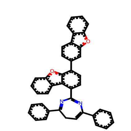 C1=C(c2ccccc2)N=C(c2ccc(-c3ccc4c(c3)oc3ccccc34)c3oc4ccccc4c23)N=C(c2ccccc2)C1